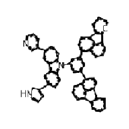 C1=CNCC(c2ccc3c(c2)c2cc(-c4cccnc4)ccc2n3-c2cc(-c3ccc4c5c(cccc35)-c3ccccc3-4)cc(-c3ccc4c5c(cccc35)-c3ccccc3-4)c2)=C1